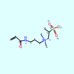 C=CC(=O)NCCC[N+](C)(C)CC(C)S(=O)(=O)[O-]